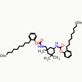 CCCCCCCCCCCCCCCCCCc1ccccc1OC(=O)NCC1(C)CC(NC(=O)Oc2ccccc2CCCCCCCCCCCCCCCCCC)CC(C)(C)C1